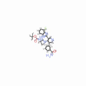 CC1(NC(=O)OC(C)(C)C)CCN(c2c(-c3cccc(C(N)=O)c3)cncc2-c2nc3c(F)cccc3[nH]2)C1